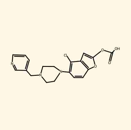 O=C(O)Oc1cc2c(Cl)c(N3CCN(Cc4cccnc4)CC3)ccc2o1